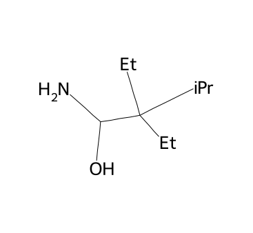 CCC(CC)(C(C)C)C(N)O